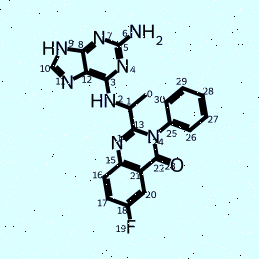 CC(Nc1nc(N)nc2[nH]cnc12)c1nc2ccc(F)cc2c(=O)n1-c1ccccc1